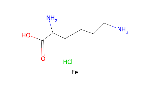 Cl.NCCCCC(N)C(=O)O.[Fe]